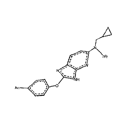 CCCN(CC1CC1)c1ccc2nc(Oc3ccc(C(C)=O)cc3)[nH]c2n1